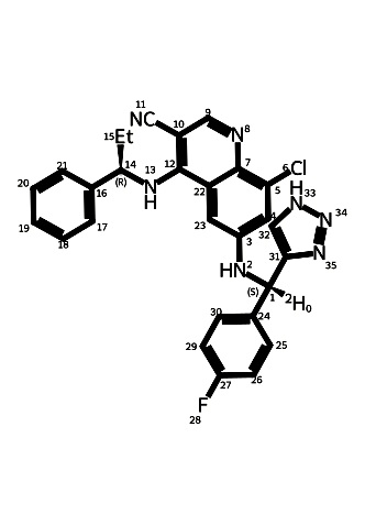 [2H][C@](Nc1cc(Cl)c2ncc(C#N)c(N[C@H](CC)c3ccccc3)c2c1)(c1ccc(F)cc1)c1c[nH]nn1